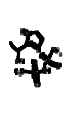 CC(O)c1ncc[nH]1.O=S(=O)(NS(=O)(=O)C(F)(F)F)C(F)(F)F